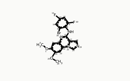 COc1cc2nc(Nc3c(F)cc(F)cc3Br)c3cncn3c2cc1OC